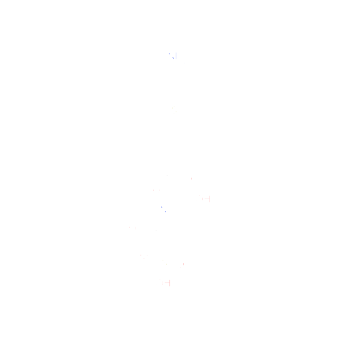 NCCSSCCC(=O)ON1C(=O)C(S(=O)(=O)O)CC1O